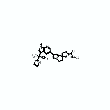 CCNC(=O)N1CCC2(CCn3nc(-c4cnc5[nH]cc(C(C)(C)c6nccs6)c5c4)cc32)C1